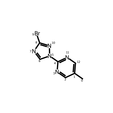 Cc1cnc(-n2cnc(Br)n2)nc1